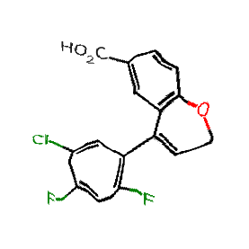 O=C(O)c1ccc2c(c1)C(c1cc(Cl)c(F)cc1F)=CCO2